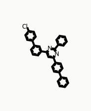 Clc1ccc(-c2cccc(-c3cc(-c4ccc(-c5ccccc5)cc4)nc(-c4ccccc4)n3)c2)cc1